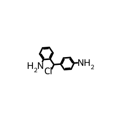 Nc1ccc(C(Cl)c2ccccc2N)cc1